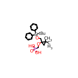 CC1(C)CC1(CO[Si](c1ccccc1)(c1ccccc1)C(C)(C)C)OCP(=O)(O)O